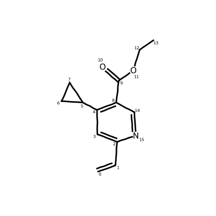 C=Cc1cc(C2CC2)c(C(=O)OCC)cn1